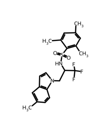 Cc1cc(C)c(S(=O)(=O)NC(Cn2ccc3cc(C)ccc32)C(F)(F)F)c(C)c1